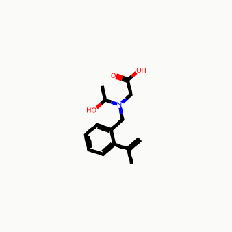 C=C(C)c1ccccc1CN(CC(=O)O)C(C)O